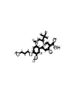 COCCCOc1cc2c(cc1OC)-c1cc(=O)c(C(=O)O)cn1C(C(C)(C)C)CN2C